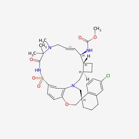 COC(=O)N[C@@H]1/C=C/CN(C)C(C)(C)C(=O)NS(=O)(=O)c2ccc3c(c2)N(C[C@@H]2CC[C@H]21)C[C@@]1(CCCc2cc(Cl)ccc21)CO3